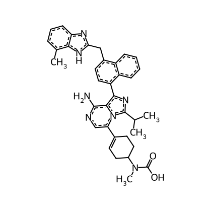 Cc1cccc2nc(Cc3ccc(-c4nc(C(C)C)n5c(C6=CCC(N(C)C(=O)O)CC6)cnc(N)c45)c4ccccc34)[nH]c12